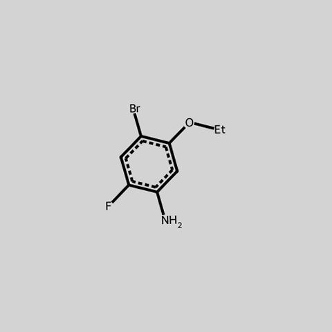 CCOc1cc(N)c(F)cc1Br